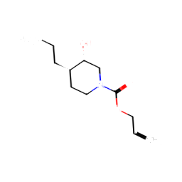 C=CCOC(=O)N1CC[C@@H](CCC(=O)O)[C@H](O)C1